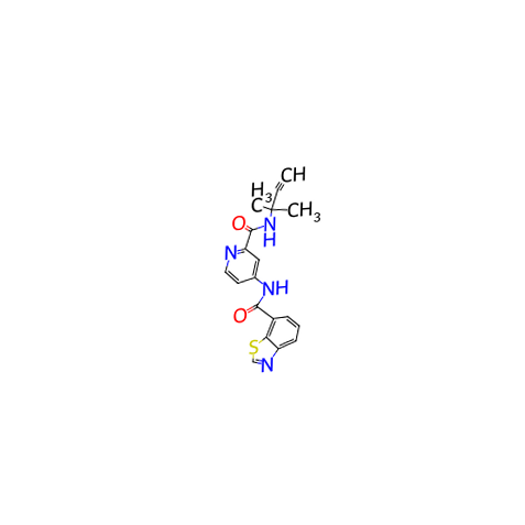 C#CC(C)(C)NC(=O)c1cc(NC(=O)c2cccc3ncsc23)ccn1